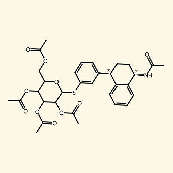 CC(=O)N[C@@H]1CC[C@H](c2cccc(SC3OC(COC(C)=O)C(OC(C)=O)C(OC(C)=O)C3OC(C)=O)c2)c2ccccc21